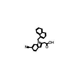 N#Cc1ccc2cc(CC(=O)O)n(Cc3cccc4ccccc34)c2c1